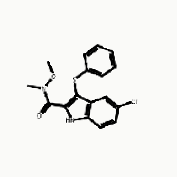 CON(C)C(=O)c1[nH]c2ccc(Cl)cc2c1Sc1ccccc1